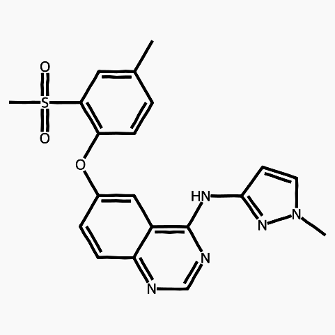 Cc1ccc(Oc2ccc3ncnc(Nc4ccn(C)n4)c3c2)c(S(C)(=O)=O)c1